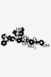 CC(C)c1ccccc1[C@H]1CCCN1C1CC2(CCN(c3ccc(C(=O)NS(=O)(=O)c4cc5c(c([N+](=O)[O-])c4)N[C@@H]([C@H]4CC[C@](C)(O)CC4)CO5)c(Oc4cc5cc[nH]c5nc4OCC4CCC4)c3)CC2)C1